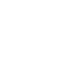 CCOc1cccc(C2(CC#N)CCN(OC(=O)C(C)(C)C)CC2)c1